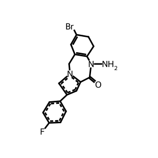 NN1C(=O)c2cc(-c3ccc(F)cc3)cn2CC2=C1CCC(Br)=C2